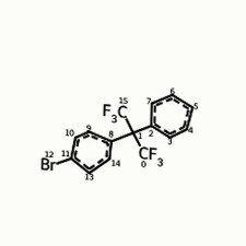 FC(F)(F)C(c1ccccc1)(c1ccc(Br)cc1)C(F)(F)F